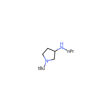 CCCNC1CCN(C(C)(C)C)C1